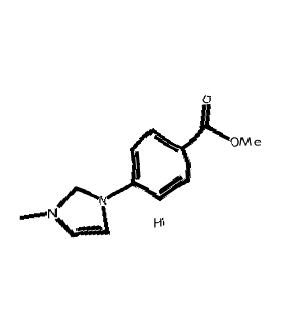 COC(=O)c1ccc(N2C=CN(C)C2)cc1.I